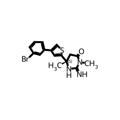 CN1C(=N)N[C@](C)(c2cc(-c3cccc(Br)c3)cs2)CC1=O